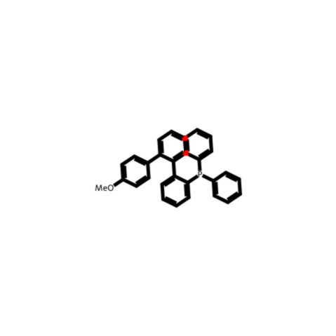 COc1ccc(-c2ccccc2-c2ccccc2P(c2ccccc2)c2ccccc2)cc1